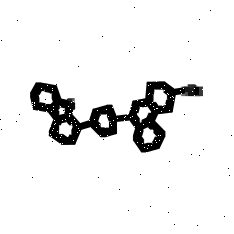 CCCCc1ccc2cc(-c3ccc(-c4cccc5c4sc4ccccc45)cc3)c3ccccc3c2c1